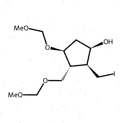 COCOC[C@H]1[C@H](CI)[C@H](O)C[C@@H]1OCOC